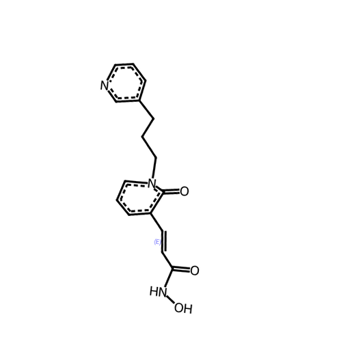 O=C(/C=C/c1cccn(CCCc2cccnc2)c1=O)NO